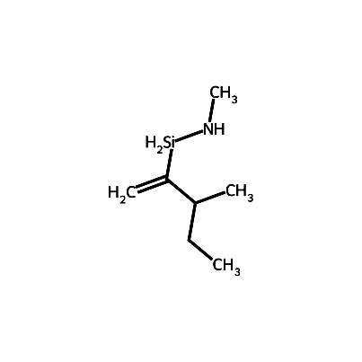 C=C([SiH2]NC)C(C)CC